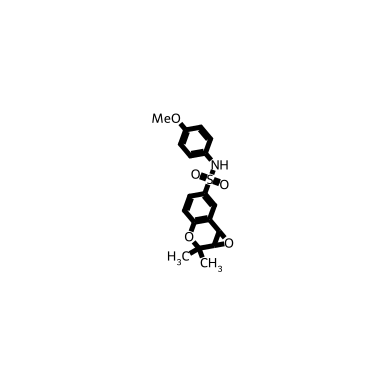 COc1ccc(NS(=O)(=O)c2ccc3c(c2)C2OC2C(C)(C)O3)cc1